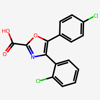 O=C(O)c1nc(-c2ccccc2Cl)c(-c2ccc(Cl)cc2)o1